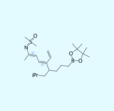 C=C/C(=C\C=C(/C)N=S(C)(C)=O)C(CCCB1OC(C)(C)C(C)(C)O1)CC(C)C